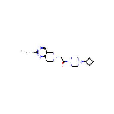 COc1ncc2c(n1)CCN(CC(=O)N1CCN(C3CCC3)CC1)C2